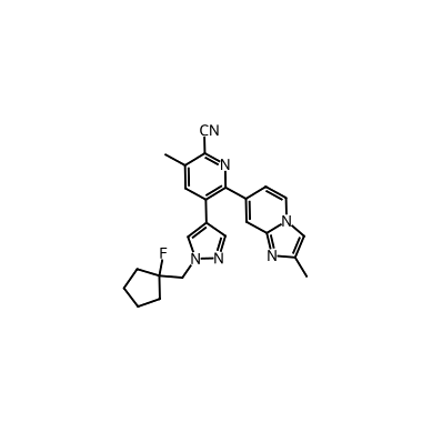 Cc1cn2ccc(-c3nc(C#N)c(C)cc3-c3cnn(CC4(F)CCCC4)c3)cc2n1